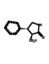 O=C(O)[C@@H]1C(=O)NC[C@H]1c1ccccc1